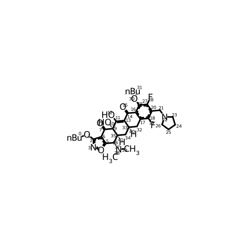 CCCCOc1noc2c1C(=O)[C@@]1(O)C(O)=C3C(=O)c4c(c(F)c(CN5CCCC5)c(F)c4OCCCC)C[C@H]3C[C@H]1[C@@H]2N(C)C